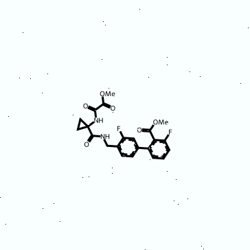 COC(=O)C(=O)NC1(C(=O)NCc2ccc(-c3cccc(F)c3C(=O)OC)cc2F)CC1